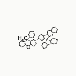 CC1(c2ccccc2)c2ccccc2Oc2ccc(-c3ccc4c(c3)C3(c5ccccc5-c5ccccc53)c3cc5ccccc5cc3-4)cc21